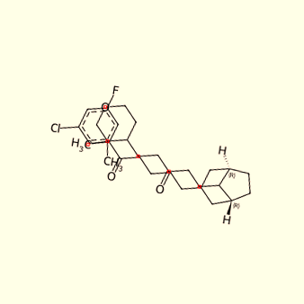 CC1(C)COCCC1CCC(=O)CCC1[C@@H]2CC[C@@H]1CC(CCCCC(=O)c1cc(F)cc(Cl)c1)C2